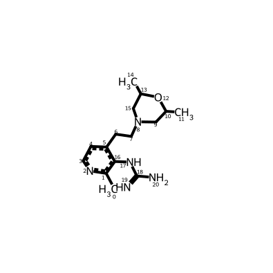 Cc1nccc(CCN2CC(C)OC(C)C2)c1NC(=N)N